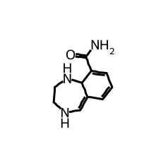 NC(=O)C1=CC=CC2=CNCCNC21